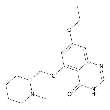 CCOc1cc(OC[C@H]2CCCCN2C)c2c(=O)[nH]cnc2c1